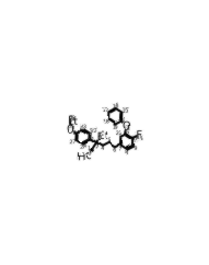 C#CC(CC)(CCCc1ccc(F)c(Oc2ccccc2)c1)c1ccc(OCC)cc1